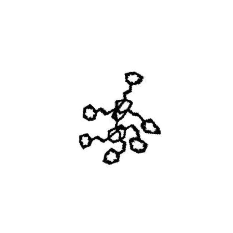 C(=CC12CC3(C=Cc4ccccc4)CC(C=Cc4ccccc4)(C1)CC(C14CC5(C=Cc6ccccc6)CC(C=Cc6ccccc6)(CC(C=Cc6ccccc6)(C5)C1)C4)(C2)C3)c1ccccc1